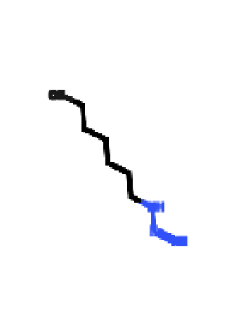 N=NNCCCCCCN=O